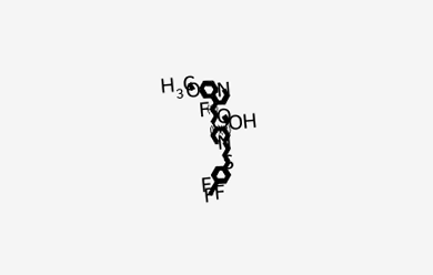 COc1ccc2nccc([C@@H](F)CC[C@@H]3CCN(CCSc4ccc(C(F)(F)F)cc4)C[C@@H]3C(=O)O)c2c1